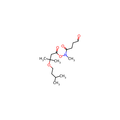 CC(C)CCOC(C)(C)CC(=O)ON(C)C(=O)CCC=O